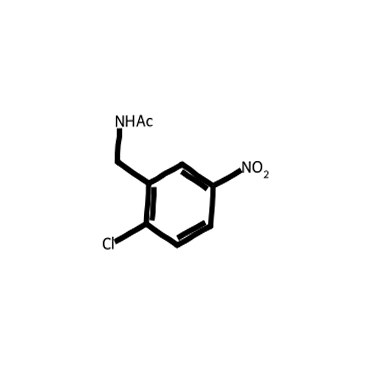 CC(=O)NCc1cc([N+](=O)[O-])ccc1Cl